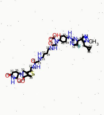 Cn1ncc(-c2nc(NC3CCC(N(CC(=O)NCCCCNCC(=O)NCc4scc5c4CN(C4CCC(=O)NC4=O)C5=O)C(=O)O)CC3)ncc2F)c1CC1CC1